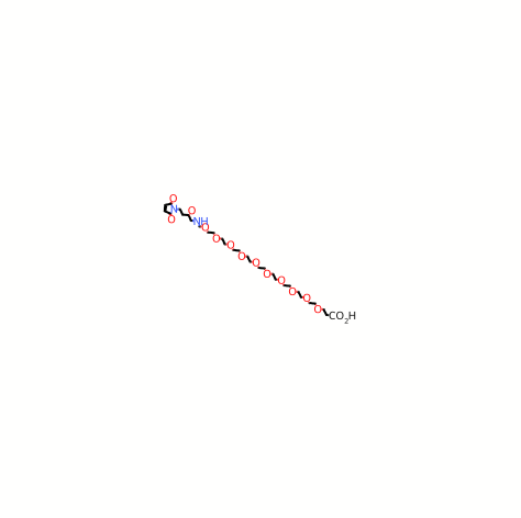 O=C(O)CCOCCOCCOCCOCCOCCOCCOCCOCCOCCOCNCC(=O)CCN1C(=O)C=CC1=O